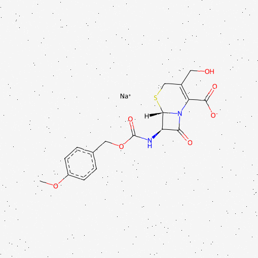 COc1ccc(COC(=O)N[C@@H]2C(=O)N3C(C(=O)[O-])=C(CO)CS[C@@H]23)cc1.[Na+]